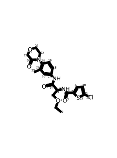 CCOCC(NC(=O)c1ccc(Cl)s1)C(=O)Nc1ccc(N2CCOCC2=O)c(C)c1